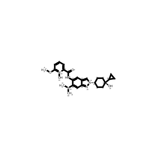 COc1cccc(C(=O)Nc2cc3cn([C@H]4CC[C@@](O)(C5CC5)CC4)nc3cc2N(C)C)[n+]1O